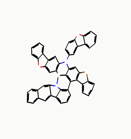 c1ccc2cc3c(cc2c1)c1cccc2c1n3B1c3cc4oc5ccccc5c4cc3N(c3ccc4oc5ccccc5c4c3)c3cc4sc5ccccc5c4c-2c31